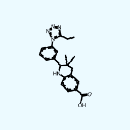 CCc1nnnn1-c1cccc(C2Nc3ccc(C(=O)O)cc3CC2(C)C)c1